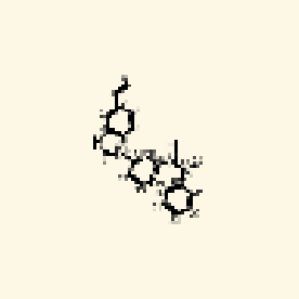 C=Cc1ccc2c(c1)ncn2-c1ccnc(N[C@@H](C)c2ccccc2)n1